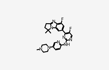 CN1CCN(c2ccc(Nc3ncc(F)c(-c4cc(F)c5nc6n(c5c4)C(C)(C)CC6)n3)nc2)CC1